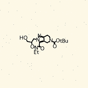 CCN1OC(CO)Cn2nc3c(c2C1=O)CN(C(=O)OC(C)(C)C)CC3